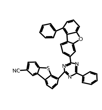 N#Cc1ccc2sc3c(-c4nc(-c5ccccc5)nc(-c5ccc6c(c5)oc5cccc(-c7ccccc7)c56)n4)cccc3c2c1